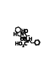 CC(N[C@@H](CCc1ccccc1)C(=O)O)C(=O)N1[C@@H]2CCCC[C@@H]2C[C@H]1C(=O)O